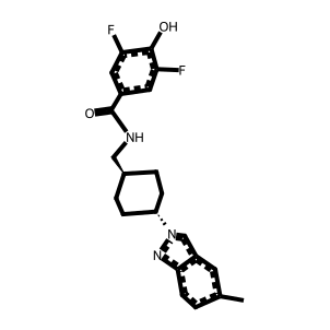 Cc1ccc2nn([C@H]3CC[C@H](CNC(=O)c4cc(F)c(O)c(F)c4)CC3)cc2c1